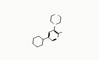 CC(=O)c1ncc(C2CCCCC2)cc1N1CCOCC1